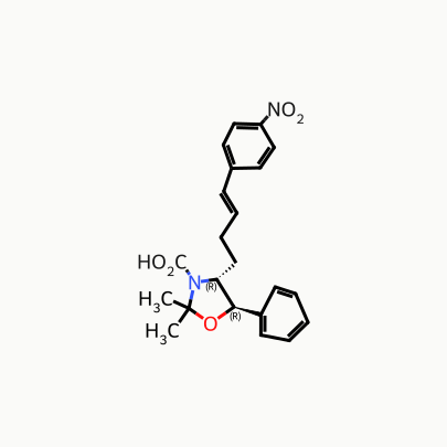 CC1(C)O[C@H](c2ccccc2)[C@@H](CCC=Cc2ccc([N+](=O)[O-])cc2)N1C(=O)O